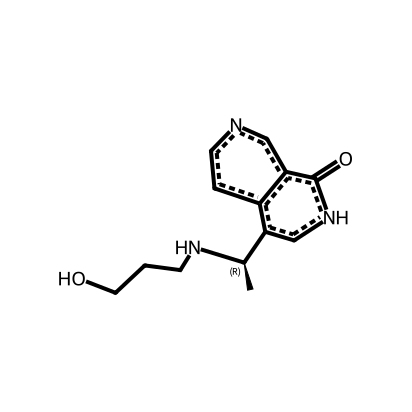 C[C@@H](NCCCO)c1c[nH]c(=O)c2cnccc12